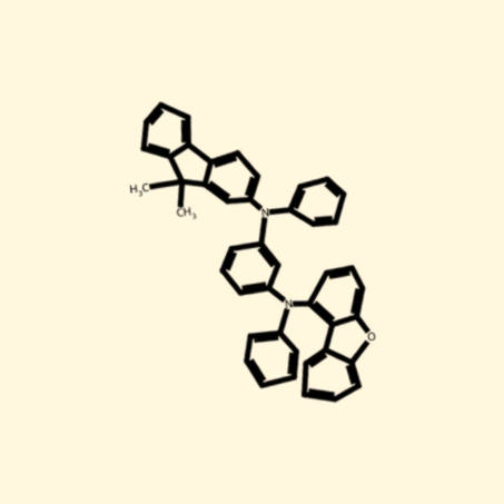 CC1(C)c2ccccc2-c2ccc(N(c3ccccc3)c3cccc(N(c4ccccc4)c4cccc5oc6ccccc6c45)c3)cc21